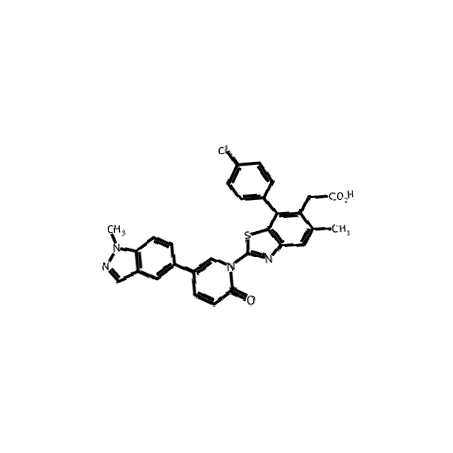 Cc1cc2nc(-n3cc(-c4ccc5c(cnn5C)c4)ccc3=O)sc2c(-c2ccc(Cl)cc2)c1CC(=O)O